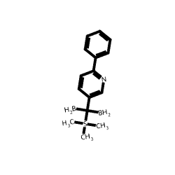 BC(B)(c1ccc(-c2ccccc2)nc1)S(C)(C)C